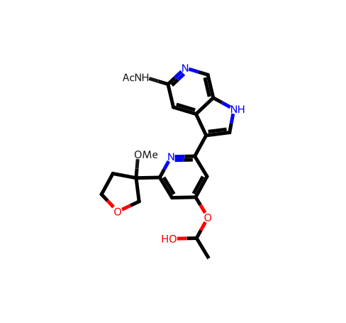 COC1(c2cc(OC(C)O)cc(-c3c[nH]c4cnc(NC(C)=O)cc34)n2)CCOC1